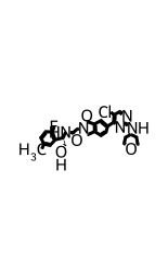 Cc1ccc(F)c([C@@H](CO)NC(=O)CN2Cc3ccc(-c4nc(NC5CCOCC5)ncc4Cl)cc3C2=O)c1